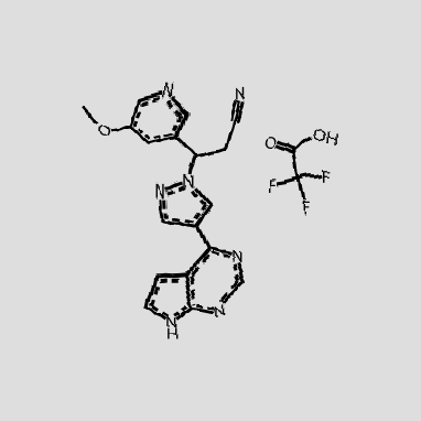 COc1cncc(C(CC#N)n2cc(-c3ncnc4[nH]ccc34)cn2)c1.O=C(O)C(F)(F)F